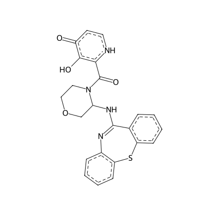 O=C(c1[nH]ccc(=O)c1O)N1CCOCC1NC1=Nc2ccccc2Sc2ccccc21